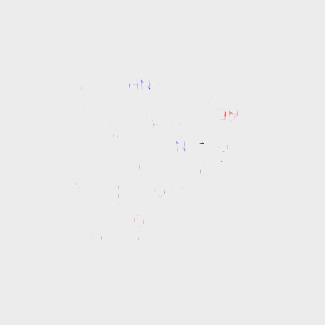 CSc1ccc2c(c1)C(c1cccc3c1OCCO3)OCC(=O)[N@@+]2(CC(C)(C)C)[C@@]1(C(=O)O)CCNC[C@@H]1C(C)=O